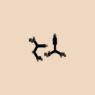 CC(C)C#N.CCC(C)=O